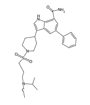 CCN(CCCS(=O)(=O)N1CCC(c2c[nH]c3c(C(N)=O)cc(-c4ccccc4)cc23)CC1)C(C)C